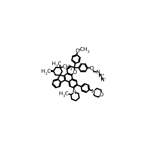 C=C1CC(C)(C)CC2(C1)c1ccccc1-c1c2c2c(c3cc(-c4ccc(N5CCOCC5)cc4)c(N4CCCCC4C)cc13)OC(c1ccc(OC)cc1)(c1ccc(OCN=[N+]=[N-])cc1)C=C2